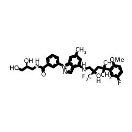 COc1ccc(F)cc1C(C)(C)CC(O)(CNc1cc(C)cc2c1cnn2-c1cccc(C(=O)NC[C@H](O)CO)c1)C(F)(F)F